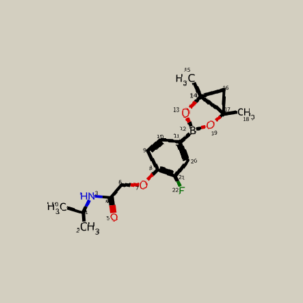 CC(C)NC(=O)COc1ccc(B2OC3(C)CC3(C)O2)cc1F